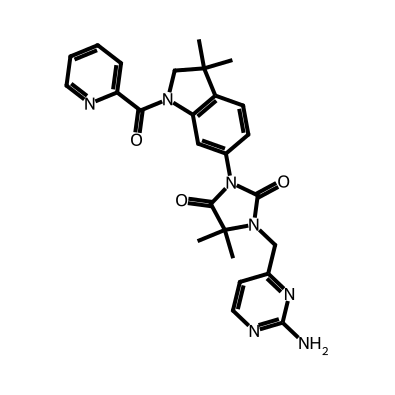 CC1(C)CN(C(=O)c2ccccn2)c2cc(N3C(=O)N(Cc4ccnc(N)n4)C(C)(C)C3=O)ccc21